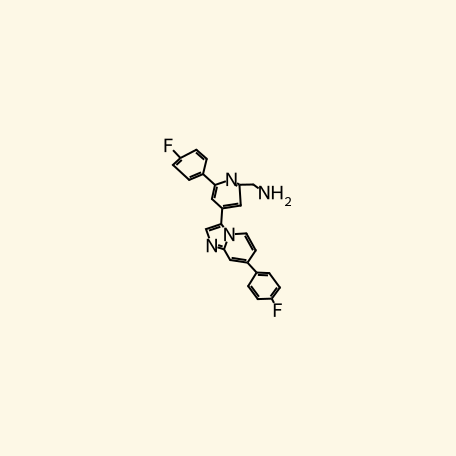 NCc1cc(-c2cnc3cc(-c4ccc(F)cc4)ccn23)cc(-c2ccc(F)cc2)n1